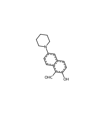 O=Cc1c(O)ccc2cc(N3CCCCC3)ccc12